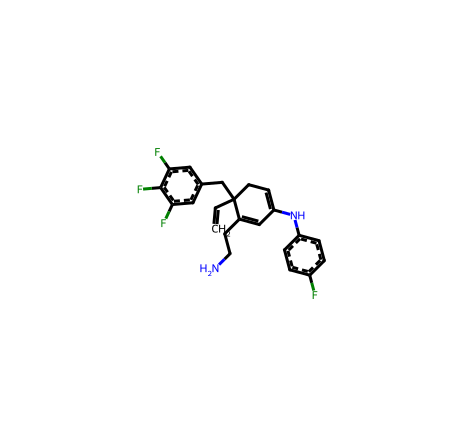 C=CC1(Cc2cc(F)c(F)c(F)c2)CC=C(Nc2ccc(F)cc2)C=C1CCN